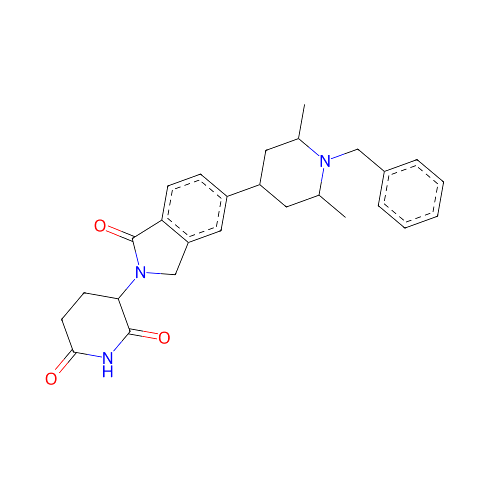 CC1CC(c2ccc3c(c2)CN(C2CCC(=O)NC2=O)C3=O)CC(C)N1Cc1ccccc1